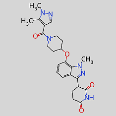 Cc1c(C(=O)N2CCC(Oc3cccc4c(C5CCC(=O)NC5=O)nn(C)c34)CC2)cnn1C